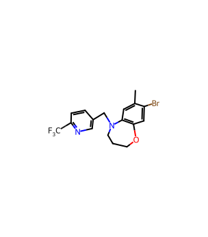 Cc1cc2c(cc1Br)OCCCN2Cc1ccc(C(F)(F)F)nc1